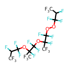 FC(C(F)(F)F)C(F)(F)OOC(F)(F)C(F)(OC(F)(F)C(F)(OC(F)(F)C(F)C(F)(F)F)C(F)(F)F)C(F)(F)F